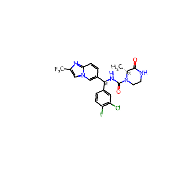 C[C@@H]1C(=O)NCCN1C(=O)N[C@@H](c1ccc(F)c(Cl)c1)c1ccc2nc(C(F)(F)F)cn2c1